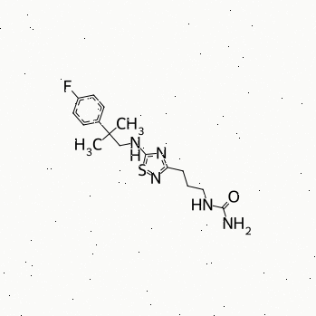 CC(C)(CNc1nc(CCCNC(N)=O)ns1)c1ccc(F)cc1